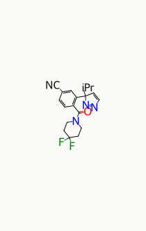 CC(C)C1(c2cc(C#N)ccc2C(=O)N2CCC(F)(F)CC2)C=CN=N1